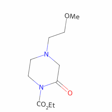 CCOC(=O)N1CCN(CCOC)CC1=O